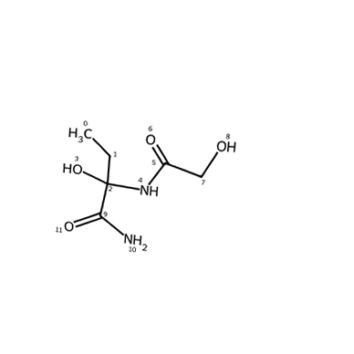 CCC(O)(NC(=O)CO)C(N)=O